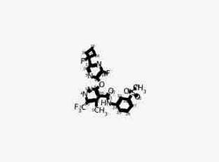 Cc1c(C(F)(F)F)nnc(Oc2ncc(C3(F)CCC3)nc2F)c1C(=O)Nc1cccc(S(C)(=O)=O)c1